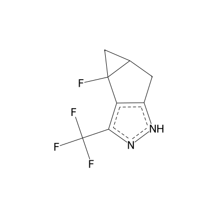 FC(F)(F)c1n[nH]c2c1C1(F)CC1C2